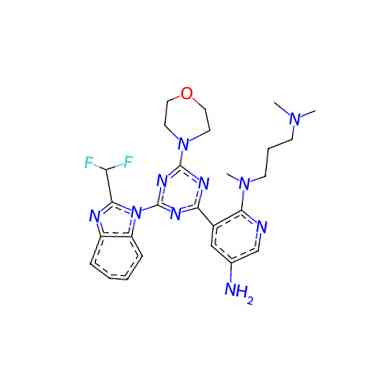 CN(C)CCCN(C)c1ncc(N)cc1-c1nc(N2CCOCC2)nc(-n2c(C(F)F)nc3ccccc32)n1